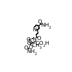 CC1(COC(N)=O)[C@H](C(=O)O)N(C(=O)/C=C/c2cc(C(N)=O)ccn2)CS1(=O)=O